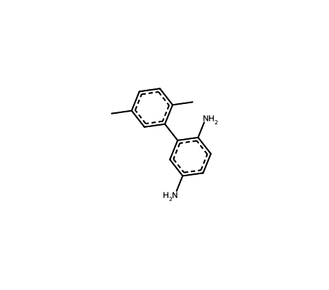 Cc1ccc(C)c(-c2cc(N)ccc2N)c1